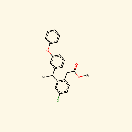 CC(C)OC(=O)Cc1ccc(Cl)cc1C(C#N)c1cccc(Oc2ccccc2)c1